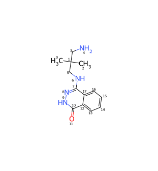 CC(C)(CN)CNc1n[nH]c(=O)c2ccccc12